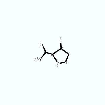 CCC(OC(C)=O)C1O[CH][CH]C1F